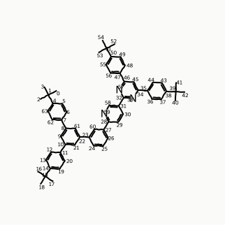 CC(C)(C)c1ccc(-c2cc(-c3ccc(C(C)(C)C)cc3)cc(-c3cccc(-c4ccc(-c5nc(-c6ccc(C(C)(C)C)cc6)cc(-c6ccc(C(C)(C)C)cc6)n5)cn4)c3)c2)cc1